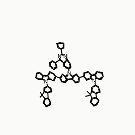 CC1(C)c2ccccc2-c2ccc(-n3c4ccccc4c4ccc(-c5ccc6c7ccc(-c8ccc9c%10ccccc%10n(-c%10ccc%11c(c%10)C(C)(C)c%10ccccc%10-%11)c9c8)cc7n(-c7ccc8nc(-c9ccccc9)nc(-c9ccccc9)c8c7)c6c5)cc43)cc21